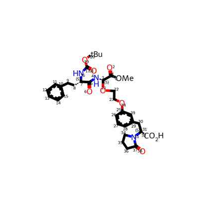 COC(=O)[C@@H](NC(=O)[C@H](CCc1ccccc1)NC(=O)OC(C)(C)C)OCCOc1cccc(C[C@@H](C(=O)O)N2CCCC2=O)c1